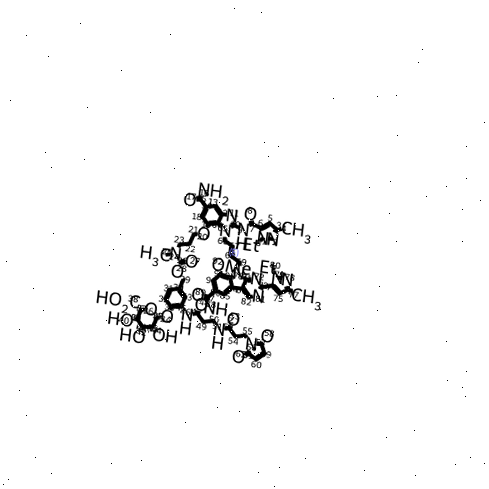 CCn1nc(C)cc1C(=O)Nc1nc2cc(C(N)=O)cc(OCCCN(C)C(=O)OCc3ccc(O[C@@H]4O[C@H](C(=O)O)[C@@H](O)[C@H](O)[C@H]4O)c(NC(=O)CCNC(=O)CCN4C(=O)C=CC4=O)c3)c2n1C/C=C/Cn1c2nc(-c3cc(C)nn3CC)ncc2c2cc(C(N)=O)cc(OC)c21